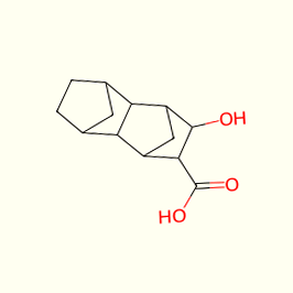 O=C(O)C1C(O)C2CC1C1C3CCC(C3)C21